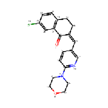 O=C1C(=Cc2ccc(N3CCOCC3)nc2)CCc2ccc(Br)cc21